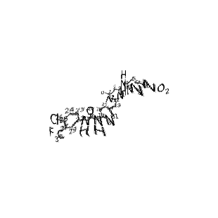 Cc1cc(Nc2cc([N+](=O)[O-])n[nH]2)nc(Cc2ccc(NC(=O)Nc3ccc(Cl)c(C(F)(F)F)c3)nc2)n1